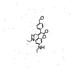 CCNc1cc(NCC)c2c(C)c(-c3ccc(C=O)cc3)c(=O)oc2c1